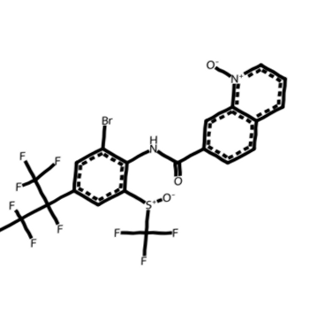 O=C(Nc1c(Br)cc(C(F)(C(F)(F)F)C(F)(F)F)cc1[S+]([O-])C(F)(F)F)c1ccc2ccc[n+]([O-])c2c1